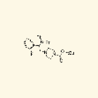 CCN(CC)C(CN1CCN(C(=O)OC(C)(C)C)CC1)c1ccccc1F